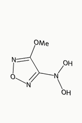 COc1nonc1N(O)O